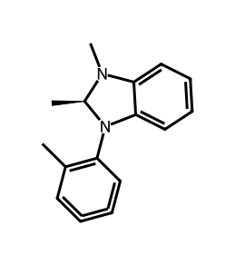 CC1=C(N2c3ccccc3N(C)[C@@H]2C)C=C=C=C1